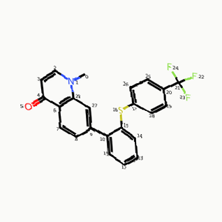 Cn1ccc(=O)c2ccc(-c3ccccc3Sc3ccc(C(F)(F)F)cc3)cc21